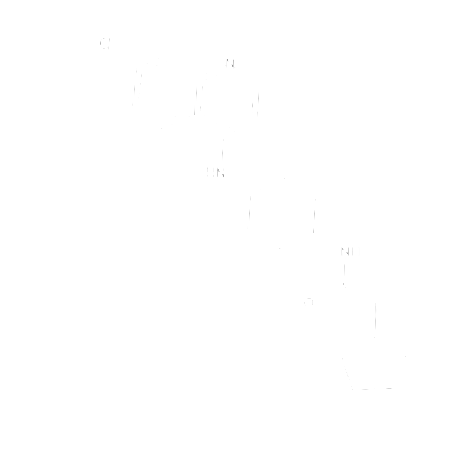 O=C(CC1CCCC1)NC1CCC(Nc2ccnc3cc(Cl)ccc23)CC1